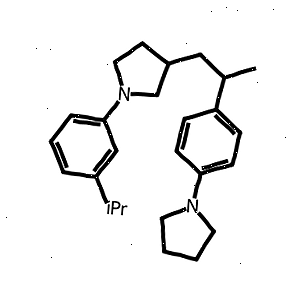 CC(C)c1cccc(N2CCC(CC(C)c3ccc(N4CCCC4)cc3)C2)c1